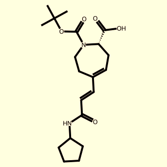 CC(C)(C)OC(=O)N1CCC(/C=C/C(=O)NC2CCCC2)=CC[C@H]1C(=O)O